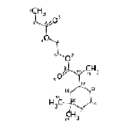 CCC(=O)OCCOC(=O)C(C)C1CCCC(C)(C)C1